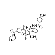 Cc1[nH]c(=O)c(Nc2ccc(C(=O)N3CCCOCC3)cc2)cc1-c1cccc(NC(=O)c2ccc(C(C)(C)C)cc2)c1C